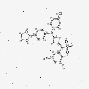 CS(=O)(=O)C(=C1CN(C(c2ccc(Cl)cc2)c2ccc(C3OCCO3)cc2)C1)c1cc(F)cc(F)c1